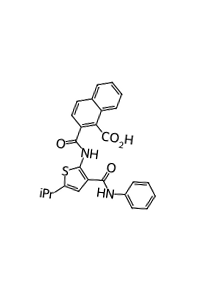 CC(C)c1cc(C(=O)Nc2ccccc2)c(NC(=O)c2ccc3ccccc3c2C(=O)O)s1